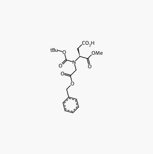 COC(=O)[C@H](CC(=O)O)N(CC(=O)OCc1ccccc1)C(=O)OC(C)(C)C